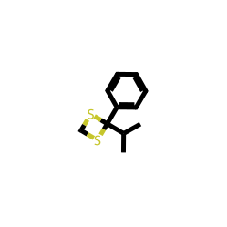 CC(C)C1(c2ccccc2)SCS1